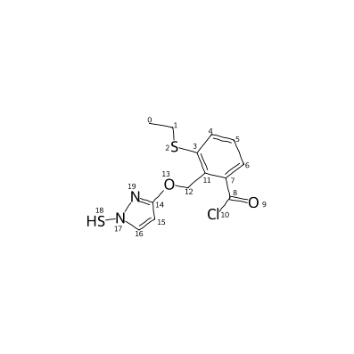 CCSc1cccc(C(=O)Cl)c1COc1ccn(S)n1